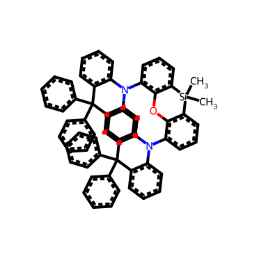 C[Si]1(C)c2cccc(N3c4ccccc4C(c4ccccc4)(c4ccccc4)c4ccccc43)c2Oc2c(N3c4ccccc4C(c4ccccc4)(c4ccccc4)c4ccccc43)cccc21